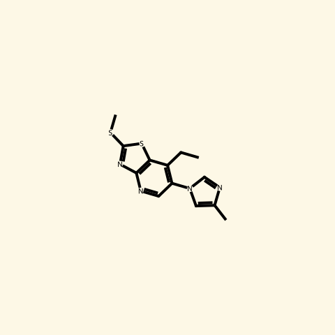 CCc1c(-n2cnc(C)c2)cnc2nc(SC)sc12